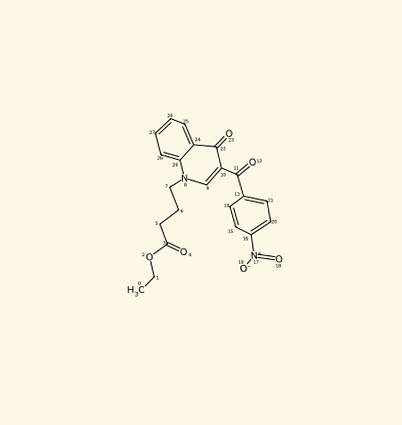 CCOC(=O)CCCn1cc(C(=O)c2ccc([N+](=O)[O-])cc2)c(=O)c2ccccc21